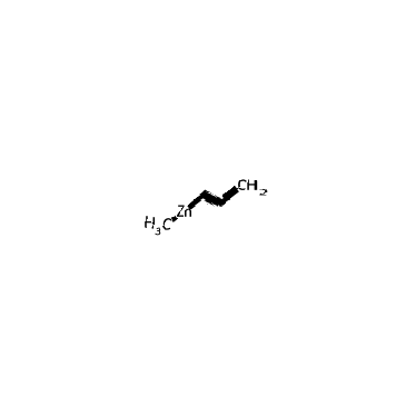 C=C[CH2][Zn][CH3]